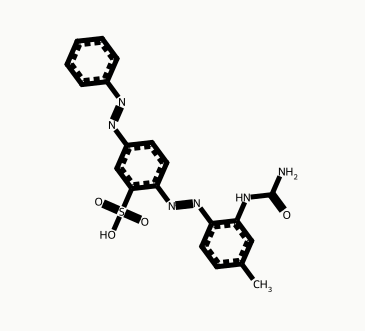 Cc1ccc(N=Nc2ccc(N=Nc3ccccc3)cc2S(=O)(=O)O)c(NC(N)=O)c1